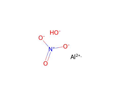 O=[N+]([O-])[O-].[Al+2].[OH-]